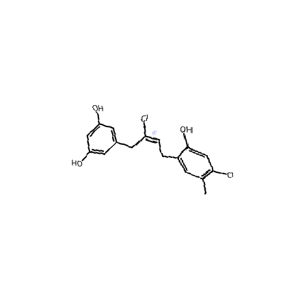 Cc1cc(C/C=C(/Cl)Cc2cc(O)cc(O)c2)c(O)cc1Cl